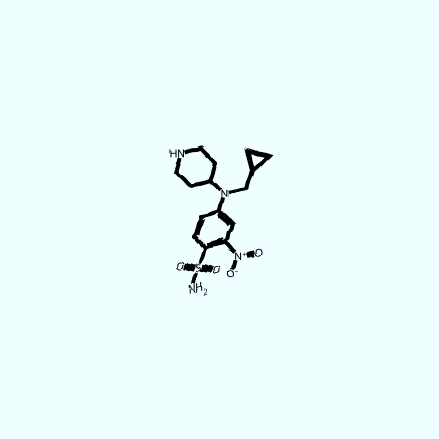 NS(=O)(=O)c1ccc(N(CC2CC2)C2CCNCC2)cc1[N+](=O)[O-]